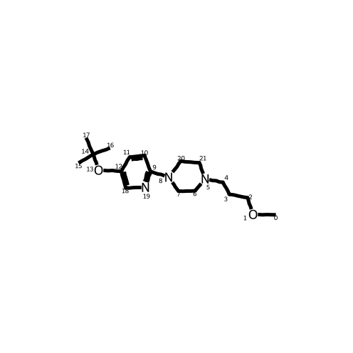 COCCCN1CCN(c2ccc(OC(C)(C)C)cn2)CC1